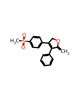 C=C1OCC(c2ccc(S(C)(=O)=O)cc2)=C1c1ccccc1